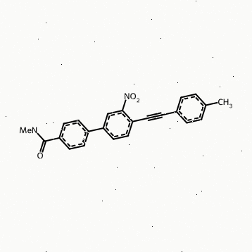 CNC(=O)c1ccc(-c2ccc(C#Cc3ccc(C)cc3)c([N+](=O)[O-])c2)cc1